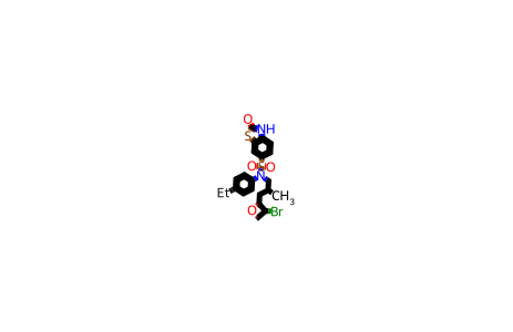 CCc1ccc(N(CC(C)CC2OCC2Br)S(=O)(=O)c2ccc3[nH]c(=O)sc3c2)cc1